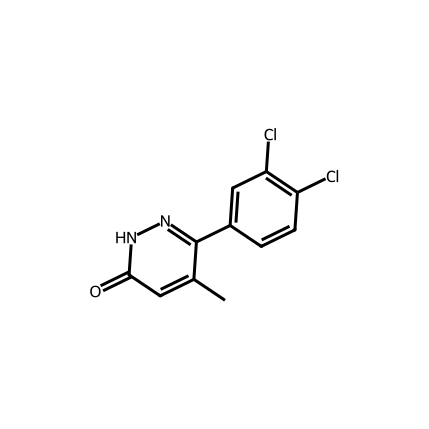 Cc1cc(=O)[nH]nc1-c1ccc(Cl)c(Cl)c1